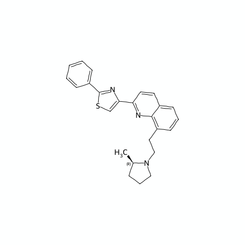 C[C@@H]1CCCN1CCc1cccc2ccc(-c3csc(-c4ccccc4)n3)nc12